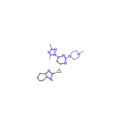 Cc1nc(C)n(-c2cc([C@@H]3C[C@H]3c3nc4ccccc4n3C)nc(N3CCN(C)CC3)n2)n1